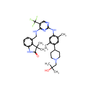 Cc1cc(C2CCN(CC(C)(C)O)CC2)c(C)cc1Nc1ncc(C(F)(F)F)c(NCc2cccc3c2C(C)(C)C(=O)N3)n1